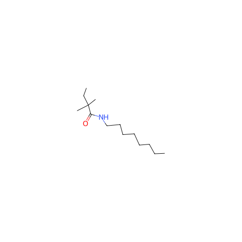 CCCCCCCCNC(=O)C(C)(C)CC